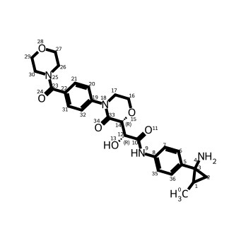 CC1CC1(N)c1ccc(NC(=O)[C@H](O)[C@H]2OCCN(c3ccc(C(=O)N4CCOCC4)cc3)C2=O)cc1